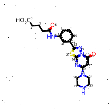 O=C(O)CCCC(=O)Nc1cccc(-c2nn3c(=O)cc(N4CCNCC4)nc3s2)c1